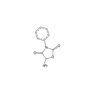 CCCC1OC(=O)N(c2ccccc2)C1=O